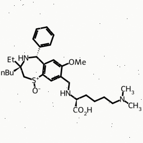 CCCC[C@]1(CC)C[S+]([O-])c2cc(CN[C@@H](CCCCN(C)C)C(=O)O)c(OC)cc2[C@@H](c2ccccc2)N1